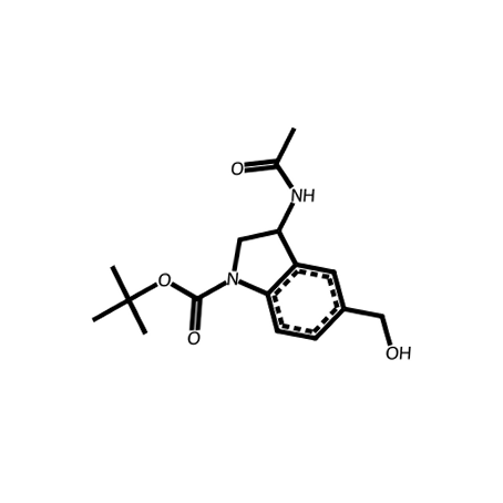 CC(=O)NC1CN(C(=O)OC(C)(C)C)c2ccc(CO)cc21